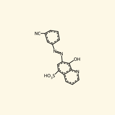 N#Cc1cccc(/N=N/c2cc(S(=O)(=O)O)c3cccnc3c2O)c1